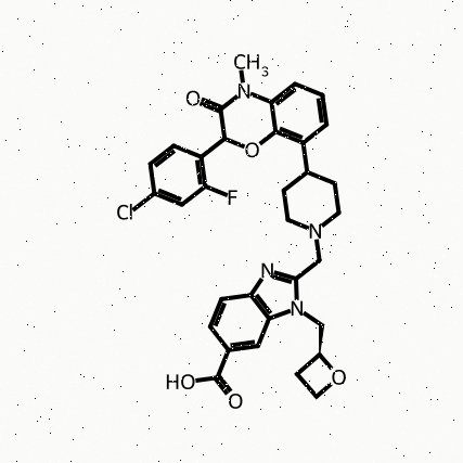 CN1C(=O)C(c2ccc(Cl)cc2F)Oc2c(C3CCN(Cc4nc5ccc(C(=O)O)cc5n4C[C@@H]4CCO4)CC3)cccc21